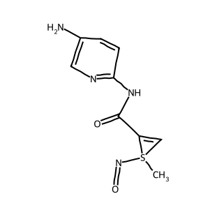 CS1(N=O)C=C1C(=O)Nc1ccc(N)cn1